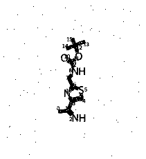 CC(=N)c1csc(CNC(=O)OC(C)(C)C)n1